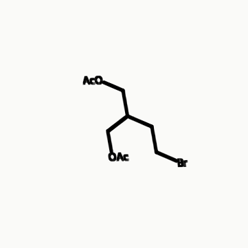 CC(=O)OCC(CCBr)COC(C)=O